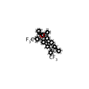 FC(F)(F)c1ccc(N(c2ccc3c(c2)C2(c4ccccc4-c4cc5c6ccccc6c6ccccc6c5cc42)c2cc(N(c4ccc(C(F)(F)F)cc4)c4cccc5c4oc4ccccc45)ccc2-3)c2cccc3c2oc2ccccc23)cc1